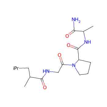 CC(C)CC(C)C(=O)NCC(=O)N1CCCC1C(=O)NC(C)C(N)=O